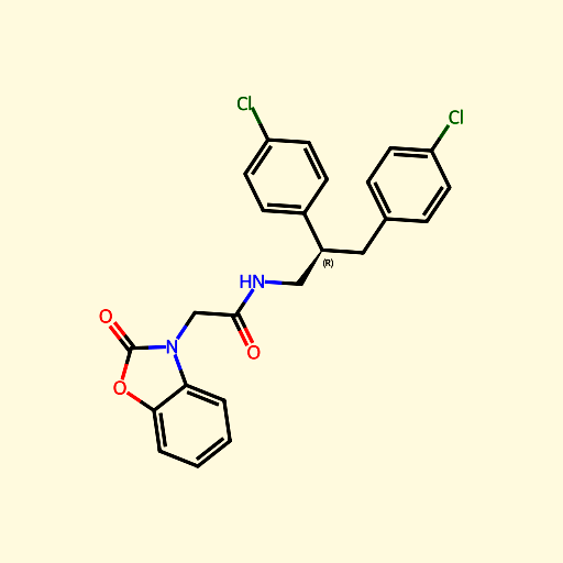 O=C(Cn1c(=O)oc2ccccc21)NC[C@H](Cc1ccc(Cl)cc1)c1ccc(Cl)cc1